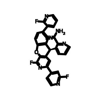 N=C(N)c1ncccc1[C@@H]1c2cc(-c3cccnc3F)ccc2Oc2c1cc(-c1ccnc(F)c1)nc2F